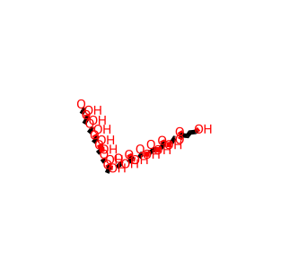 CC(=O)O.CC(=O)O.CC(=O)O.CC(=O)O.CC(=O)O.CC(=O)O.CC(=O)O.CC(=O)O.CC(=O)O.CC(=O)O.CC(=O)O.CC(=O)O.CCOC(=O)CCCO